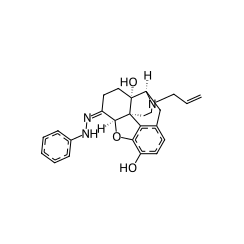 C=CCN1CC[C@]23c4c5ccc(O)c4O[C@H]2/C(=N\Nc2ccccc2)CC[C@@]3(O)[C@H]1C5